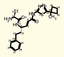 CC[C@H](N)C(=O)N[C@H](C=CC(=O)Nc1nnc(C2(C)CCC2)s1)CCc1ccccc1